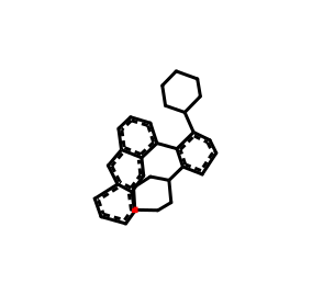 c1cc(C2CCCCC2)c(-c2cccc3cc4ccccc4cc23)c(C2CCCCC2)c1